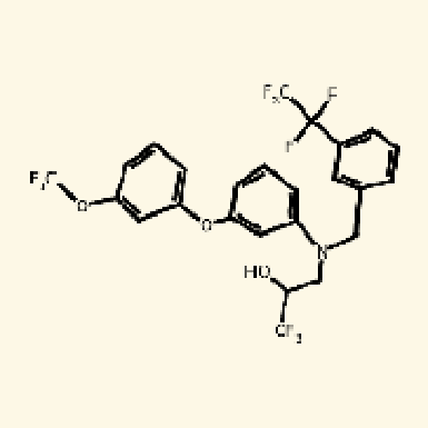 OC(CN(Cc1cccc(C(F)(F)C(F)(F)F)c1)c1cccc(Oc2cccc(OC(F)(F)F)c2)c1)C(F)(F)F